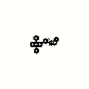 C1=Cc2ccccc2N2C1=NC1c3cc(-c4ccc5c(-c6ccccc6)c6ccccc6c(-c6ccccc6)c5c4)ccc3SC12